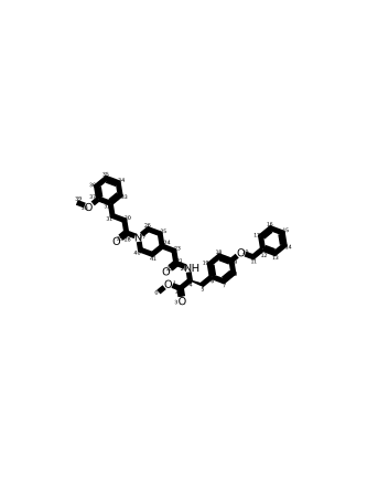 COC(=O)[C@H](Cc1ccc(OCc2ccccc2)cc1)NC(=O)CC1CCN(C(=O)CCc2ccccc2OC)CC1